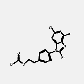 CCC(=O)OCCc1ccc(-n2c(CC)nc3c(C)cc(Cl)nc32)cc1